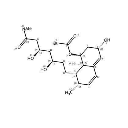 CCC(C)C(=O)O[C@H]1C[C@H](O)C=C2C=C[C@H](C)[C@H](CC[C@@H](O)C[C@@H](O)CC(=O)NC)[C@H]21